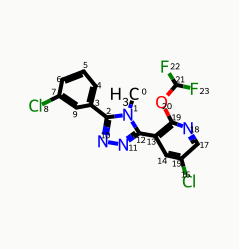 Cn1c(-c2cccc(Cl)c2)nnc1-c1cc(Cl)cnc1OC(F)F